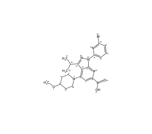 COC1CCN(c2cc(C(=O)O)nc3c2c(C(C)C)nn3-c2cccc(Br)n2)CC1